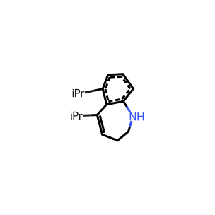 CC(C)C1=CCCNc2cccc(C(C)C)c21